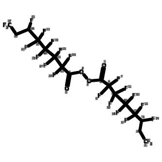 O=C(OOC(=O)C(F)(F)C(F)(F)C(F)(F)C(F)(F)C(F)CC(F)(F)F)C(F)(F)C(F)(F)C(F)(F)C(F)(F)C(F)CC(F)(F)F